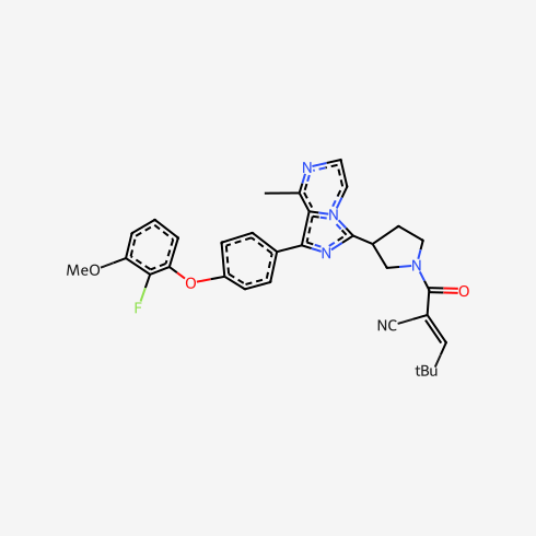 COc1cccc(Oc2ccc(-c3nc(C4CCN(C(=O)/C(C#N)=C/C(C)(C)C)C4)n4ccnc(C)c34)cc2)c1F